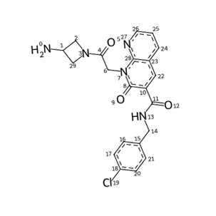 NC1CN(C(=O)Cn2c(=O)c(C(=O)NCc3ccc(Cl)cc3)cc3cccnc32)C1